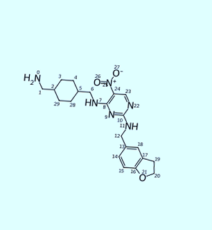 NCC1CCC(CNc2nc(NCc3ccc4c(c3)CCO4)ncc2[N+](=O)[O-])CC1